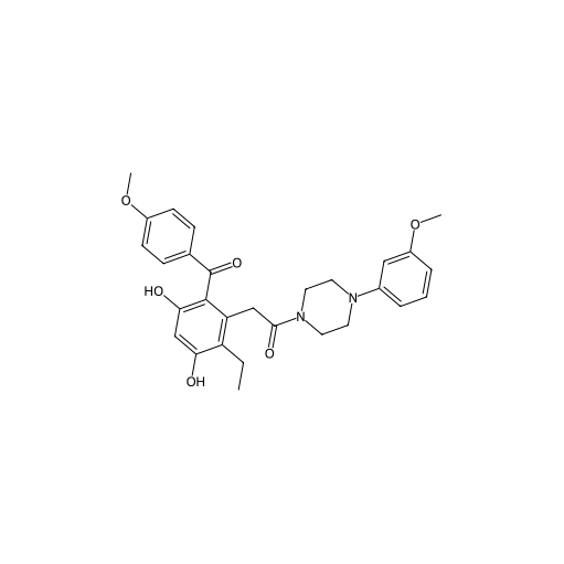 CCc1c(O)cc(O)c(C(=O)c2ccc(OC)cc2)c1CC(=O)N1CCN(c2cccc(OC)c2)CC1